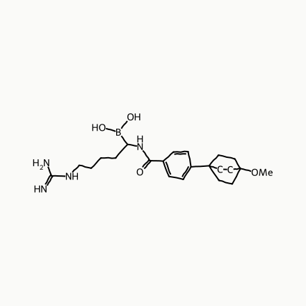 COC12CCC(c3ccc(C(=O)NC(CCCCNC(=N)N)B(O)O)cc3)(CC1)CC2